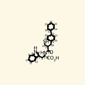 O=C(N[C@@H](Cc1c[nH]c2ccccc12)C(=O)O)C(CS)Cc1ccc(-c2ccccc2)cc1